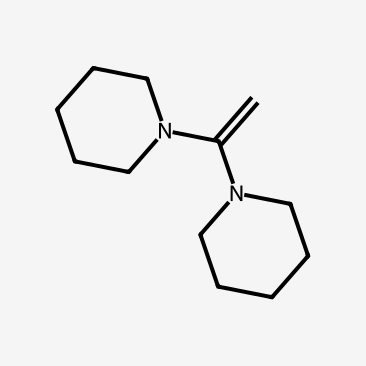 C=C(N1CCCCC1)N1CCCCC1